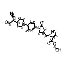 CCOC(=O)c1cnnn1C[C@H]1CN(c2ccc(N3CCC(C(C#N)CO)CC3)c(F)c2)C(=O)O1